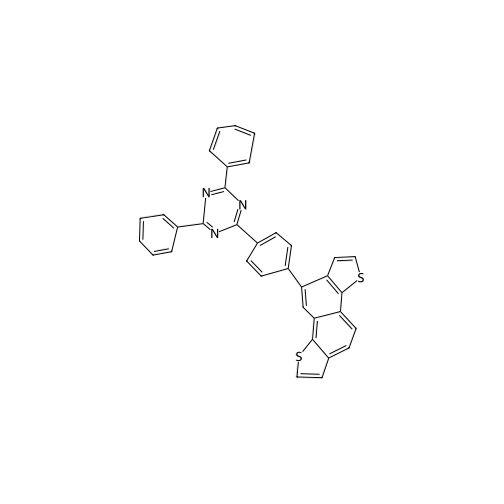 c1ccc(-c2nc(-c3ccccc3)nc(-c3ccc(-c4cc5c(ccc6ccsc65)c5sccc45)cc3)n2)cc1